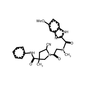 COc1ccc2[nH]c(C(=O)N(C)CC(=O)N3CC(C)(C(=O)Nc4ccccc4)CC3C#N)nc2c1